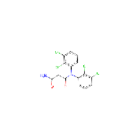 NC(=O)CC(=O)N(c1cccc(Cl)c1Cl)c1cccc(Cl)c1Cl